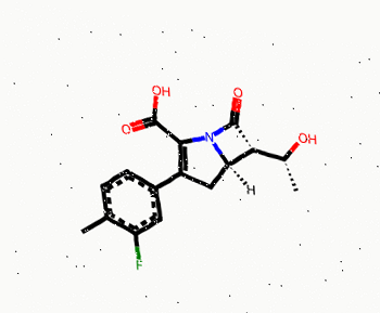 Cc1ccc(C2=C(C(=O)O)N3C(=O)[C@H]([C@@H](C)O)[C@H]3C2)cc1F